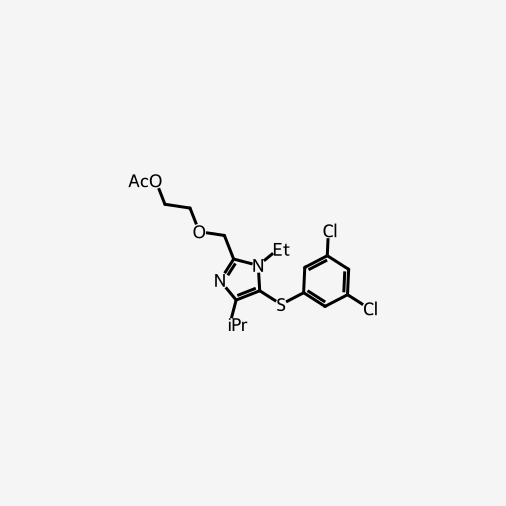 CCn1c(COCCOC(C)=O)nc(C(C)C)c1Sc1cc(Cl)cc(Cl)c1